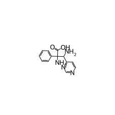 NC(c1ccncn1)C(N)(C(=O)O)c1ccccc1